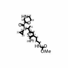 COC(=O)NCCCc1cc(C(C)N(C(=O)[C@H]2CNCCO2)C2CC2)sc1C(C)C